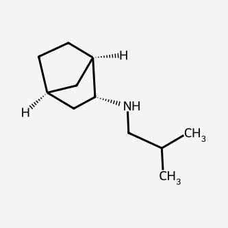 CC(C)CN[C@@H]1C[C@H]2CC[C@@H]1C2